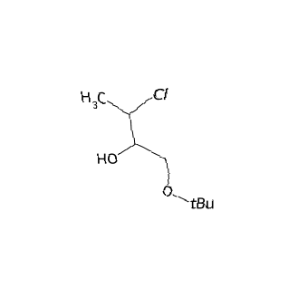 CC(Cl)C(O)COC(C)(C)C